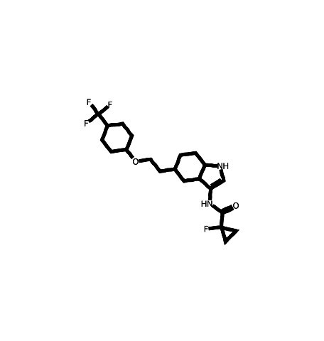 O=C(NC1=CNC2CCC(CCOC3CCC(C(F)(F)F)CC3)CC12)C1(F)CC1